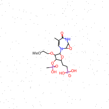 COCCOC1C(OP(C)(=O)O)C(CCP(=O)(O)O)OC1N1C=C(C)C(=O)NC2OC21